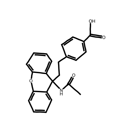 CC(=O)NC1(CCc2ccc(C(=O)O)cc2)c2ccccc2Oc2ccccc21